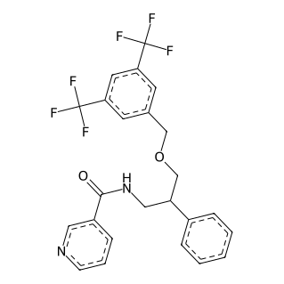 O=C(NCC(COCc1cc(C(F)(F)F)cc(C(F)(F)F)c1)c1ccccc1)c1cccnc1